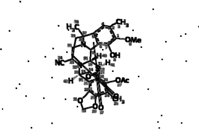 COc1c(C)cc2c(c1O)C1[C@@H]3[C@@H]4SCC(=O)C(=O)OC[C@@H](c5c6c(c(C)c(OC(C)=O)c54)OCO6)N3C3(C#N)CN1C2(C)C3